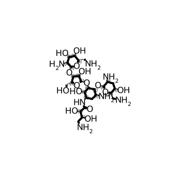 NC[C@@H]1O[C@H](O[C@H]2[C@@H](O)[C@H](O[C@@H]3[C@@H](O)[C@H](NC(=O)[C@@H](O)[C@@H](O)CN)C[C@H](N)[C@H]3O[C@H]3O[C@H](CN)[C@@H](O)C[C@H]3N)O[C@@H]2CO)[C@H](N)[C@@H](O)[C@@H]1O